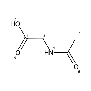 O=C(O)CNC(=O)I